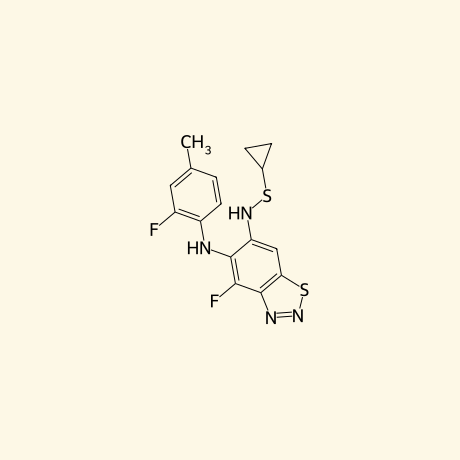 Cc1ccc(Nc2c(NSC3CC3)cc3snnc3c2F)c(F)c1